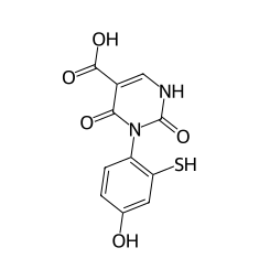 O=C(O)c1c[nH]c(=O)n(-c2ccc(O)cc2S)c1=O